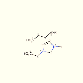 CCCCCCCCCCCCS(=O)(=O)O.CN1C=CN(CC(=O)O)C1